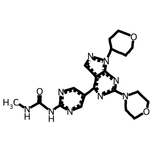 CNC(=O)Nc1ncc(-c2nc(N3CCOCC3)nc3c2cnn3C2CCOCC2)cn1